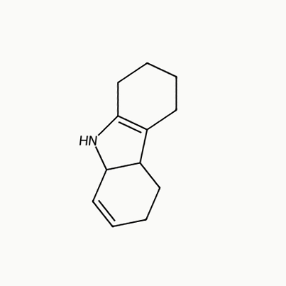 C1=CC2NC3=C(CCCC3)C2CC1